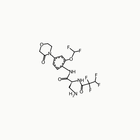 NC[C@H](NC(=O)C(F)(F)C(F)F)C(=O)Nc1ccc(N2CCOCC2=O)cc1OC(F)F